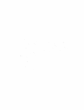 CCc1[nH]n(C2CCCC2)c2nc(-c3ccc(-n4ccnc4)cc3)nc(=O)c1-2